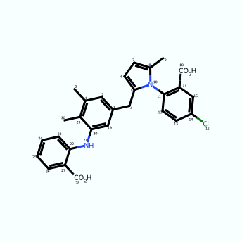 Cc1cc(Cc2ccc(C)n2-c2ccc(Cl)cc2C(=O)O)cc(Nc2ccccc2C(=O)O)c1C